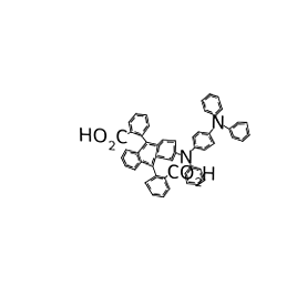 O=C(O)c1ccccc1-c1c2ccccc2c(-c2ccccc2C(=O)O)c2cc(N(c3ccccc3)c3ccc(N(c4ccccc4)c4ccccc4)cc3)ccc12